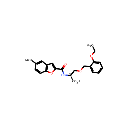 COCOc1ccccc1COC[C@H](NC(=O)c1cc2cc(OC)ccc2o1)C(=O)O